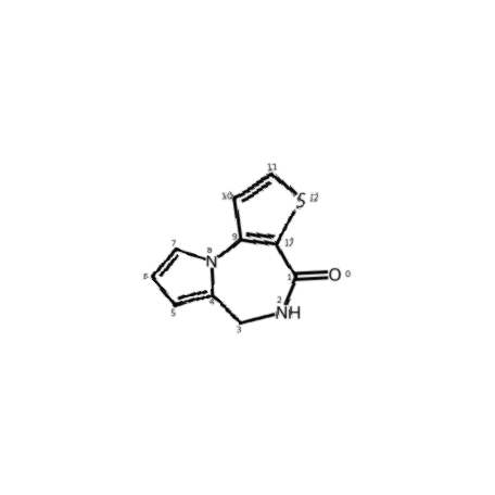 O=C1NCc2cccn2-c2ccsc21